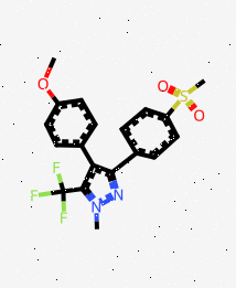 COc1ccc(-c2c(-c3ccc(S(C)(=O)=O)cc3)nn(C)c2C(F)(F)F)cc1